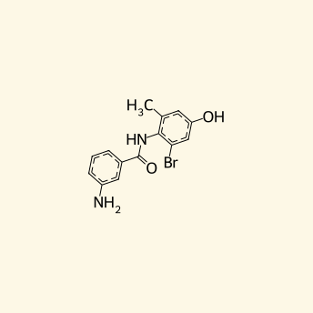 Cc1cc(O)cc(Br)c1NC(=O)c1cccc(N)c1